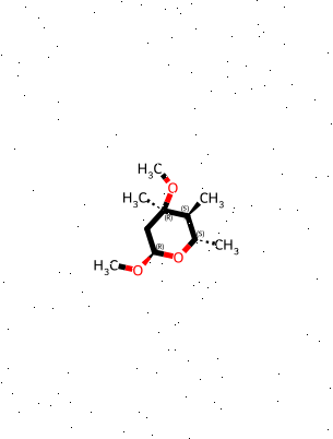 CO[C@H]1C[C@@](C)(OC)[C@@H](C)[C@H](C)O1